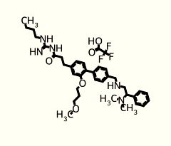 CCCCNC(=N)NC(=O)CCc1ccc(-c2ccc(CNCC(c3ccccc3)N(C)C)cc2)c(OCCCOC)c1.O=C(O)C(F)(F)F